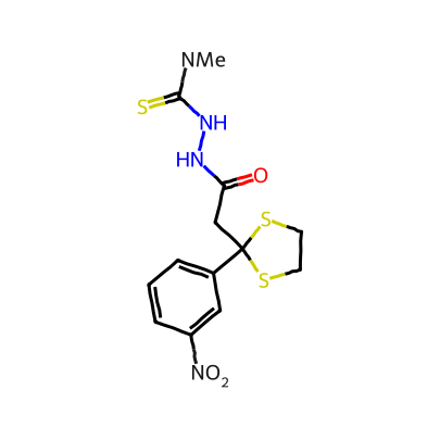 CNC(=S)NNC(=O)CC1(c2cccc([N+](=O)[O-])c2)SCCS1